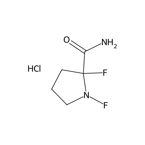 Cl.NC(=O)C1(F)CCCN1F